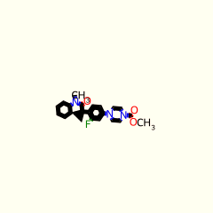 COC(=O)N1CCN(c2ccc(C3(C(=O)N(C)C4CCCCC4)CC3)c(F)c2)CC1